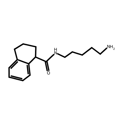 NCCCCCNC(=O)C1CCCc2ccccc21